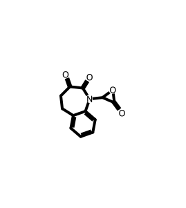 O=C1CCc2ccccc2N(C2OC2=O)C1=O